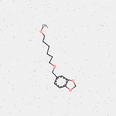 COCCCCCCOCc1ccc2c(c1)OCO2